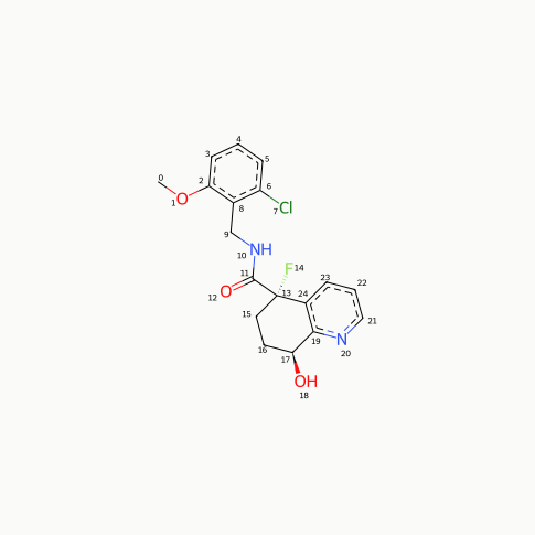 COc1cccc(Cl)c1CNC(=O)[C@]1(F)CC[C@H](O)c2ncccc21